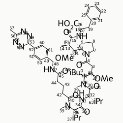 CCC(C)[C@@H]([C@@H](CC(=O)N1CCC[C@H]1[C@H](OC)[C@@H](C)C(=O)N[C@@H](Cc1ccccc1)C(=O)O)OC)N(C)C(=O)[C@@H](NC(=O)[C@H](C(C)C)N(C)C(=O)CCCC(=O)NCc1ccc(-c2nnc(C)nn2)cc1)C(C)C